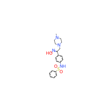 CN1CCN(CC(=NO)c2ccc(NS(=O)(=O)c3ccccc3)cc2)CC1